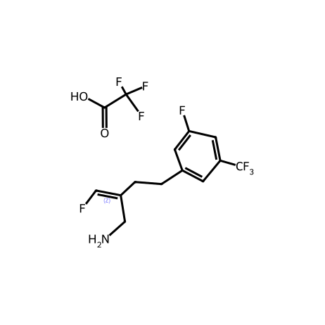 NC/C(=C\F)CCc1cc(F)cc(C(F)(F)F)c1.O=C(O)C(F)(F)F